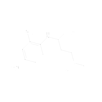 C[S+]([O-])CCC(Nc1ccc([N+](=O)[O-])cc1[N+](=O)[O-])C(=O)O